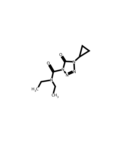 CCN(CC)C(=O)n1nnn(C2CC2)c1=O